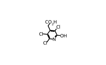 O=C(O)Cc1c(Cl)c(O)nc(Cl)c1Cl